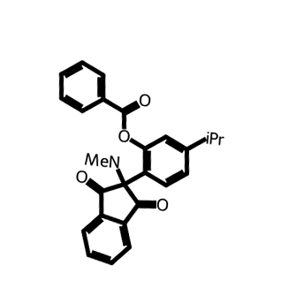 CNC1(c2ccc(C(C)C)cc2OC(=O)c2ccccc2)C(=O)c2ccccc2C1=O